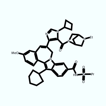 CCN1CC2CC1CN2C(=O)c1c(C2=Cc3cc(OC)ccc3-c3c(C4CCCCC4)c4ccc(C(=O)NS(=O)(=O)C(C)C)cc4n3C2)ncn1C1CCC1